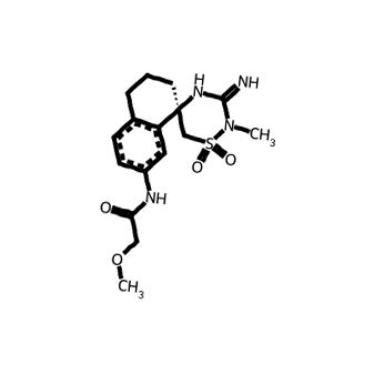 COCC(=O)Nc1ccc2c(c1)[C@]1(CCC2)CS(=O)(=O)N(C)C(=N)N1